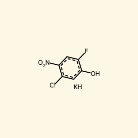 O=[N+]([O-])c1cc(F)c(O)cc1Cl.[KH]